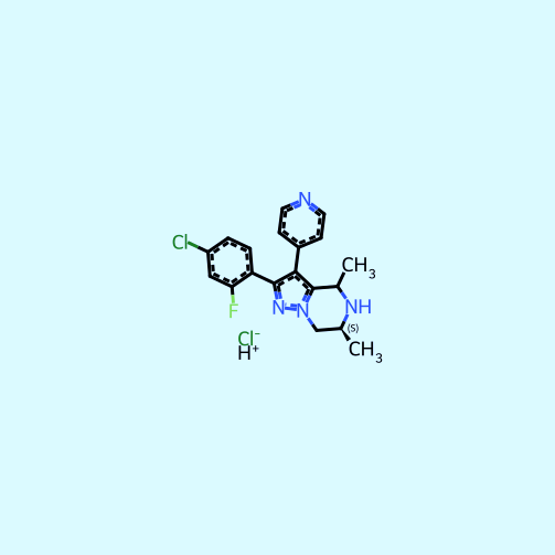 CC1N[C@@H](C)Cn2nc(-c3ccc(Cl)cc3F)c(-c3ccncc3)c21.[Cl-].[H+]